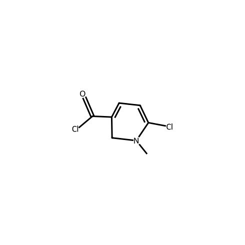 CN1CC(C(=O)Cl)=CC=C1Cl